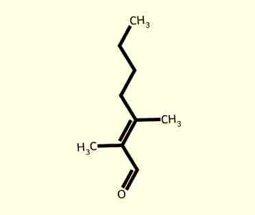 CCCC/C(C)=C(\C)C=O